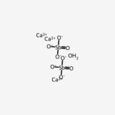 O.[Ca+2].[Ca+2].[Ca+2].[O]=[Sb]([O-])([O-])[O-].[O]=[Sb]([O-])([O-])[O-]